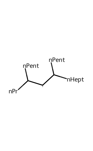 CCCCCCCC([CH]C(CCC)CCCCC)CCCCC